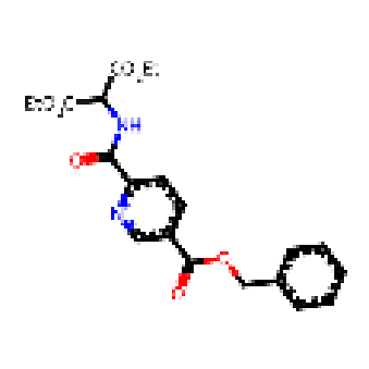 CCOC(=O)C(NC(=O)c1ccc(C(=O)OCc2ccccc2)cn1)C(=O)OCC